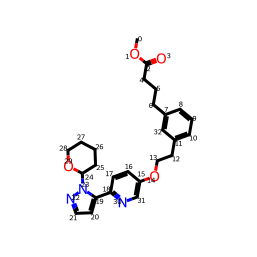 COC(=O)CCCc1cccc(CCOc2ccc(-c3ccnn3C3CCCCO3)nc2)c1